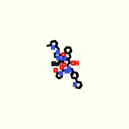 CC[C@H](C)[C@@H](C(=O)N[C@@H](Cc1ccccc1)C(O)CN(Cc1ccc(-c2ccccn2)cc1)NC(=O)N1CCCC1=O)N1CCN(Cc2cccc(C)n2)C1=O